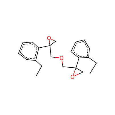 CCc1ccccc1C1(COCC2(c3ccccc3CC)CO2)CO1